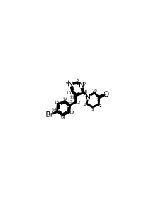 O=C1CCCN(c2ncncc2Cc2ccc(Br)cc2)C1